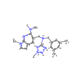 CCN(C)c1nc2c(ccn2CC)cc1CN(Cc1cc(C(F)(F)F)cc(C(F)(F)F)c1)c1nnn(C)n1